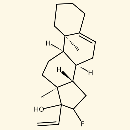 C=CC1(O)C(F)C[C@H]2[C@@H]3CC=C4CCCC[C@]4(C)[C@@H]3CC[C@@]21C